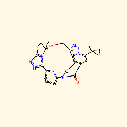 CC1(c2cc3c4c(n2)[C@@H](N)CO[C@H]2CCc5nnc(n52)-c2cccc(n2)N(C4)C3=O)CC1